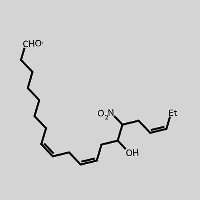 CC/C=C\CC(C(O)C/C=C\C/C=C\CCCCCC[C]=O)[N+](=O)[O-]